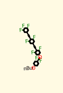 CCCCOc1ccc(C(F)(F)Oc2cc(F)c(C#Cc3cc(F)c(C#Cc4cc(F)c(F)c(F)c4)c(F)c3)c(F)c2)cc1